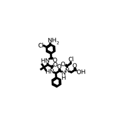 CC(C)(C)C(NC(=O)c1ccc(N)c(Cl)c1)C(=O)NC(C(=O)NN(CC(=O)O)C(=O)CCl)c1ccccc1